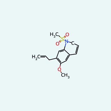 C=CCc1cc2c(cc1OC)C=CCN2S(C)(=O)=O